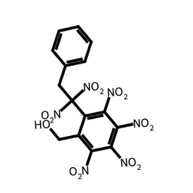 O=[N+]([O-])c1c(CO)c(C(Cc2ccccc2)([N+](=O)[O-])[N+](=O)[O-])c([N+](=O)[O-])c([N+](=O)[O-])c1[N+](=O)[O-]